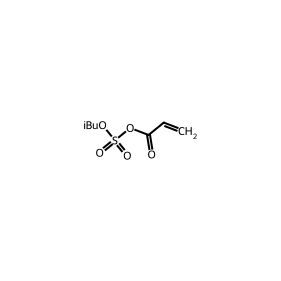 C=CC(=O)OS(=O)(=O)OCC(C)C